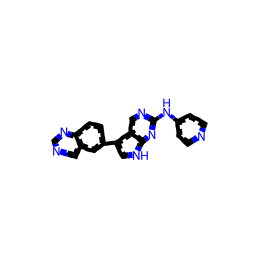 c1cc(Nc2ncc3c(-c4ccc5ncncc5c4)c[nH]c3n2)ccn1